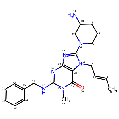 C/C=C/Cn1c(N2CCCC(N)C2)nc2nc(NCc3ccccc3)n(C)c(=O)c21